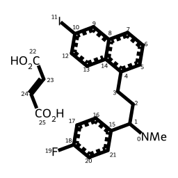 CNC(CCc1cccc2cc(I)ccc12)c1ccc(F)cc1.O=C(O)C=CC(=O)O